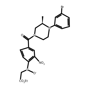 CCOC(=O)C[S+]([O-])c1ccc(C(=O)N2CCN(c3cccc(Br)c3)[C@H](C)C2)cc1[N+](=O)[O-]